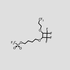 O=S(=O)(OCCCCOC1C(OCCC(F)(F)F)C(F)(F)C1(F)F)C(F)(F)F